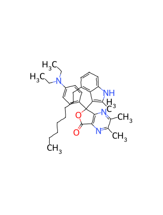 CCCCCCCCc1cccc2[nH]c(C)c(C3(c4ccc(N(CC)CC)cc4)OC(=O)c4nc(C)c(C)nc43)c12